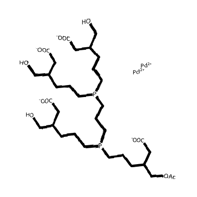 CC(=O)OCC(CCCP(CCCC(CO)CC(=O)[O-])CCCP(CCCC(CO)CC(=O)[O-])CCCC(CO)CC(=O)[O-])CC(=O)[O-].[Pd+2].[Pd+2]